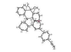 CC1(C)c2ccccc2N(c2ccccc2-c2cccc(-c3ccc(C#N)nc3)c2)c2ccccc21